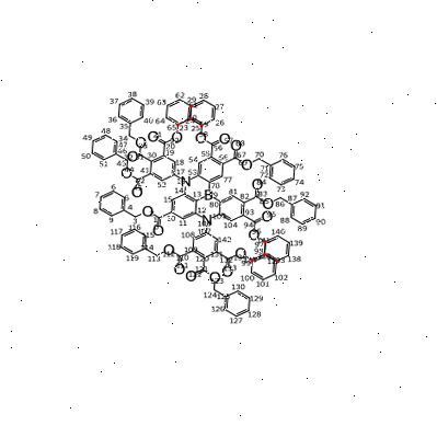 O=C(OCc1ccccc1)c1cc2c3c(c1)N(c1cc(C(=O)OCc4ccccc4)c(C(=O)OCc4ccccc4)c(C(=O)OCc4ccccc4)c1)c1cc(C(=O)OCc4ccccc4)c(C(=O)OCc4ccccc4)cc1B3c1cc(C(=O)OCc3ccccc3)c(C(=O)OCc3ccccc3)cc1N2c1cc(C(=O)OCc2ccccc2)c(C(=O)OCc2ccccc2)c(C(=O)OCc2ccccc2)c1